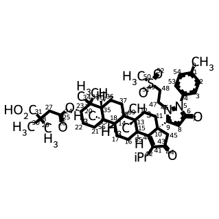 Cc1ccc(-n2c(=O)cc([C@@]34CC[C@]5(C)[C@H](CC[C@@H]6[C@@]7(C)CC[C@H](OC(=O)CC(C)(C)C(=O)O)C(C)(C)[C@@H]7CC[C@]65C)C3=C(C(C)C)C(=O)C4)n2CCS(C)(=O)=O)cc1